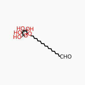 O=CCCCCCCCCCCCCCCCCCOC1O[C@H](CO)[C@@H](O)[C@H](O)[C@H]1O